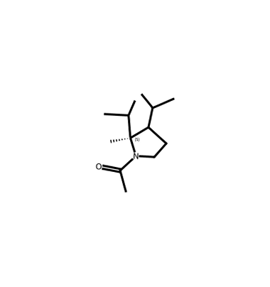 CC(=O)N1CCC(C(C)C)[C@]1(C)C(C)C